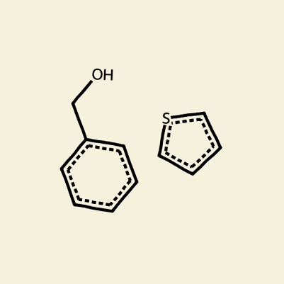 OCc1ccccc1.c1ccsc1